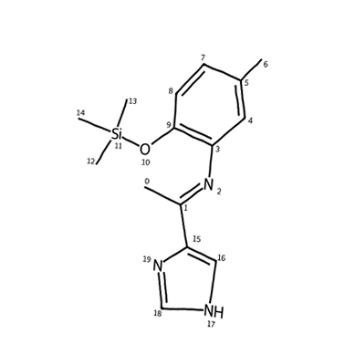 CC(=Nc1cc(C)ccc1O[Si](C)(C)C)c1c[nH]cn1